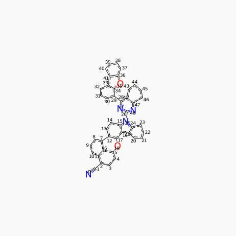 N#Cc1ccc2c3c(cccc13)-c1ccc3c(c1O2)c1ccccc1n3-c1nc(-c2cccc3c2oc2ccccc23)c2ccccc2n1